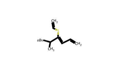 C=C/C=C(\SC=C)C(C)CCCC